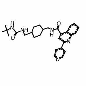 CC(C)(C)NC(=O)NCC1CCC(CNC(=O)c2cc(-c3ccncc3)nc3ccccc23)CC1